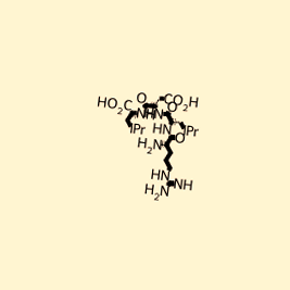 CC(C)C[C@H](NC(=O)[C@H](CC(=O)O)NC(=O)[C@H](CC(C)C)NC(=O)[C@@H](N)CCCNC(=N)N)C(=O)O